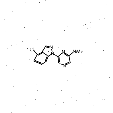 CNc1cncc(-n2ncc3c(Cl)cccc32)n1